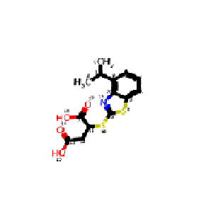 CC(C)c1cccc2sc(SC(CC(=O)O)C(=O)O)nc12